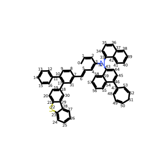 C\C=C/C(=C\C=C\c1ccc(-c2ccccc2)c(-c2ccc3sc4ccccc4c3c2)c1)N(c1cccc2ccccc12)c1ccc(C2=CC=CCC=C2)c2ccccc12